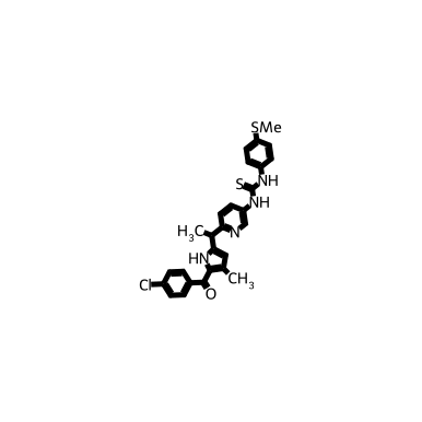 CSc1ccc(NC(=S)Nc2ccc(C(C)c3cc(C)c(C(=O)c4ccc(Cl)cc4)[nH]3)nc2)cc1